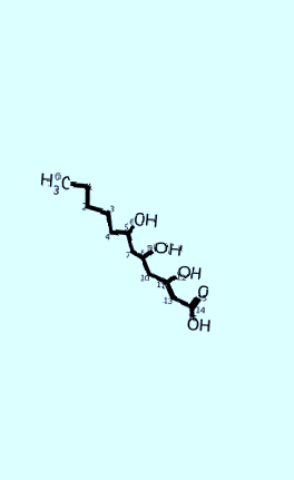 CCCCCC(O)CC(O)CC(O)CC(=O)O